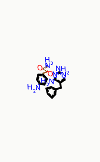 Nc1ccc(S(N)(=O)=O)cc1.Nc1ncc(Cc2ccccc2)c(N)n1